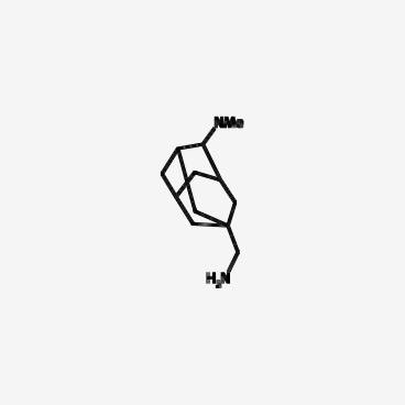 CNC1C2CC3CC1CC(CN)(C3)C2